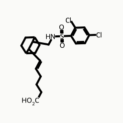 O=C(O)CCC/C=C/C1C2CCC(CC2)C1CNS(=O)(=O)c1ccc(Cl)cc1Cl